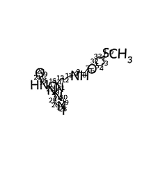 CSc1ccc(OCCCNCCCc2cc(NC3COC3)nc(N3CCN(I)CC3)n2)cc1